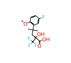 COc1ccc(F)cc1C(C)(C)C[C@@](O)(C(=O)O)C(F)(F)F